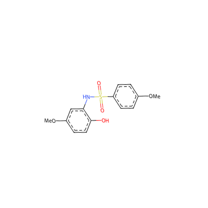 COc1ccc(S(=O)(=O)Nc2cc(OC)ccc2O)cc1